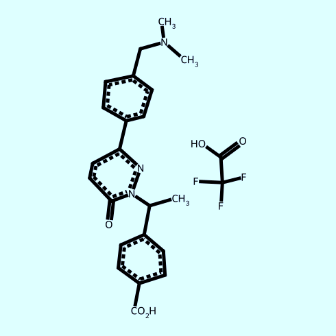 CC(c1ccc(C(=O)O)cc1)n1nc(-c2ccc(CN(C)C)cc2)ccc1=O.O=C(O)C(F)(F)F